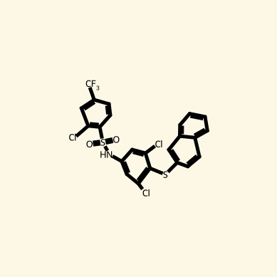 O=S(=O)(Nc1cc(Cl)c(Sc2ccc3ccccc3c2)c(Cl)c1)c1ccc(C(F)(F)F)cc1Cl